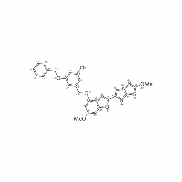 COc1cc(OCc2cc(Cl)cc(OCc3ccccc3)c2)c2cc(-c3cn4nc(OC)sc4n3)oc2c1